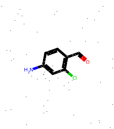 Nc1ccc(C=O)c(Cl)c1